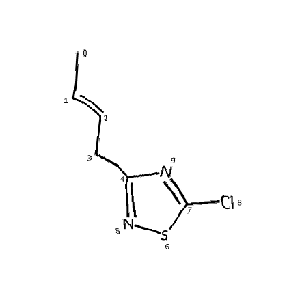 CC=CCc1nsc(Cl)n1